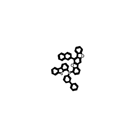 C1=CC(N(c2cccc3c2oc2c(-c4ccc5ccccc5c4)c4c(cc23)oc2ccccc24)c2cccc3c2sc2ccccc23)=CC(c2ccccc2)C1